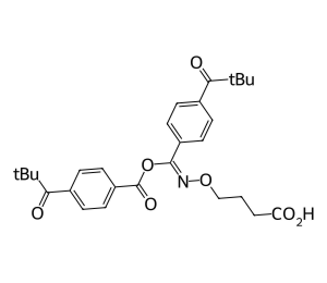 CC(C)(C)C(=O)c1ccc(C(=O)OC(=NOCCCC(=O)O)c2ccc(C(=O)C(C)(C)C)cc2)cc1